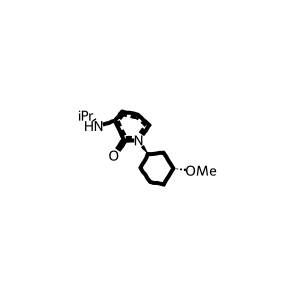 CO[C@@H]1CCC[C@@H](n2cccc(NC(C)C)c2=O)C1